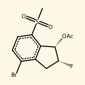 CC(=O)O[C@H]1c2c(S(C)(=O)=O)ccc(Br)c2C[C@H]1F